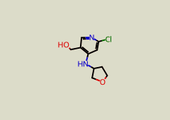 OCc1cnc(Cl)cc1NC1CCOC1